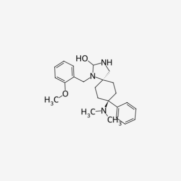 COc1ccccc1CN1C(O)NC[C@]12CC[C@](c1ccccc1)(N(C)C)CC2